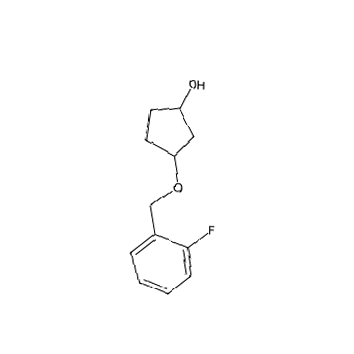 OC1CCC(OCc2ccccc2F)C1